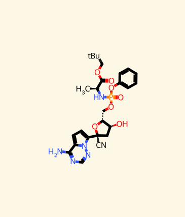 C[C@H](NP(=O)(OC[C@H]1O[C@@](C#N)(c2ccc3c(N)ncnn23)C[C@@H]1O)Oc1ccccc1)C(=O)OCC(C)(C)C